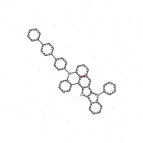 c1ccc(-c2ccc(-c3ccc(N(c4ccccc4)c4ccccc4-c4cccc5c4oc4c6ccccc6n(-c6ccccc6)c54)cc3)cc2)cc1